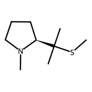 CSC(C)(C)[C@@H]1CCCN1C